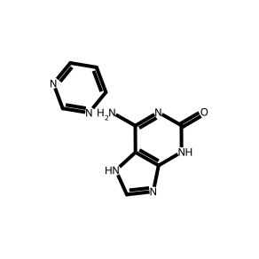 Nc1nc(=O)[nH]c2nc[nH]c12.c1cncnc1